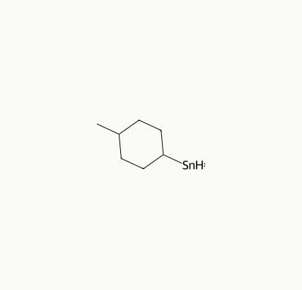 CC1CC[CH]([SnH])CC1